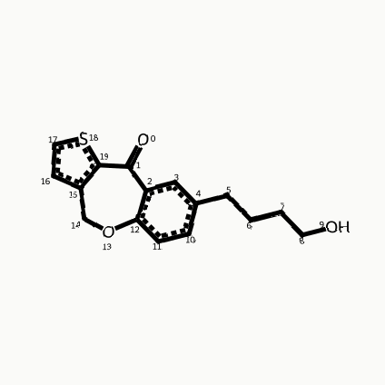 O=C1c2cc(CCCCO)ccc2OCc2ccsc21